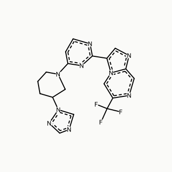 FC(F)(F)c1cn2c(-c3nccc(N4CCCC(n5cncn5)C4)n3)cnc2cn1